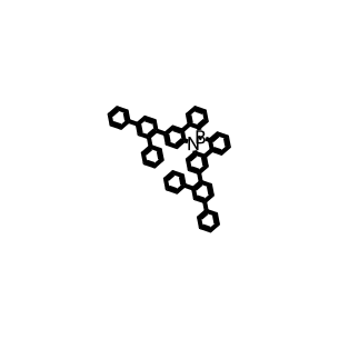 c1ccc(-c2ccc(-c3ccc4c(c3)-c3ccccc3B3c5ccccc5-c5cc(-c6ccc(-c7ccccc7)cc6-c6ccccc6)ccc5N34)c(-c3ccccc3)c2)cc1